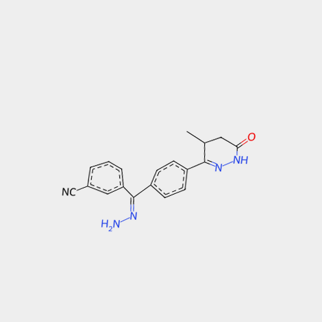 CC1CC(=O)NN=C1c1ccc(C(=NN)c2cccc(C#N)c2)cc1